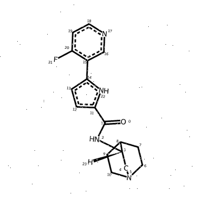 O=C(N[C@H]1CN2CCC1CC2)c1ccc(-c2cnccc2F)[nH]1